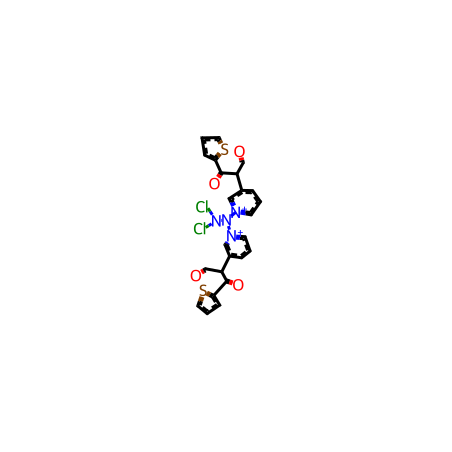 O=CC(C(=O)c1cccs1)c1ccc[n+](N(N(Cl)Cl)[n+]2cccc(C(C=O)C(=O)c3cccs3)c2)c1